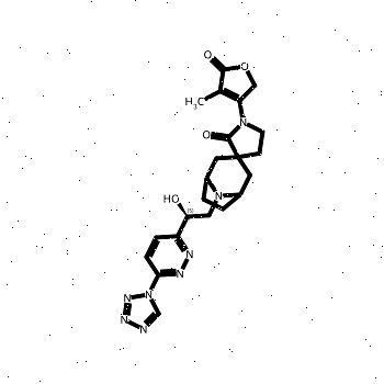 CC1=C(N2CCC3(CC4CCC(C3)N4C[C@H](O)c3ccc(-n4cnnn4)nn3)C2=O)COC1=O